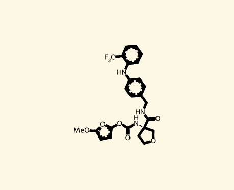 COc1ccc(OC(=O)N[C@@]2(C(=O)NCc3ccc(Nc4ccccc4C(F)(F)F)cc3)CCOC2)o1